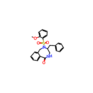 COc1ccccc1S(=O)(=O)N1Cc2ccccc2C(=O)NCC1Cc1ccccc1